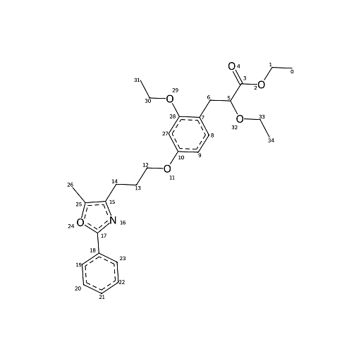 CCOC(=O)C(Cc1ccc(OCCCc2nc(-c3ccccc3)oc2C)cc1OCC)OCC